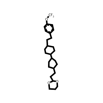 FC(F)(F)Oc1ccc(CCC2CCC(C3CCC(CCC4OCCCO4)CC3)CC2)cc1